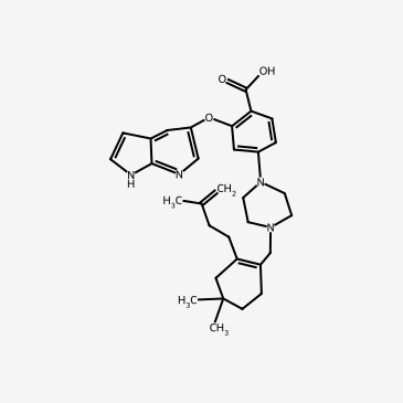 C=C(C)CCC1=C(CN2CCN(c3ccc(C(=O)O)c(Oc4cnc5[nH]ccc5c4)c3)CC2)CCC(C)(C)C1